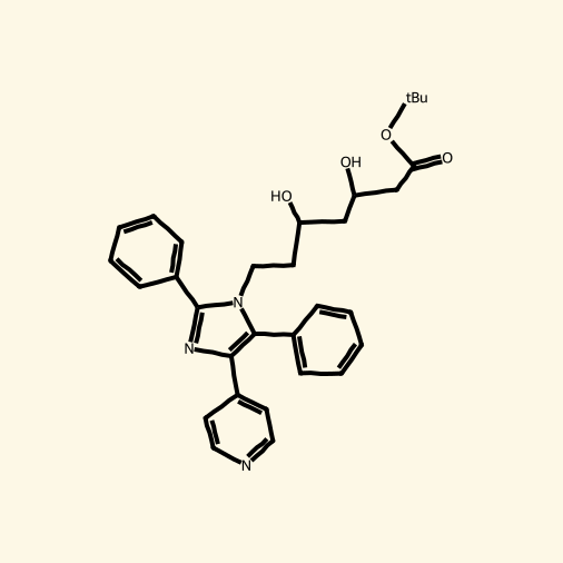 CC(C)(C)OC(=O)CC(O)CC(O)CCn1c(-c2ccccc2)nc(-c2ccncc2)c1-c1ccccc1